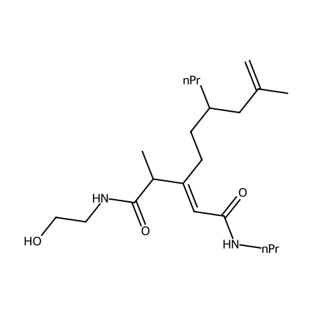 C=C(C)CC(CCC)CC/C(=C\C(=O)NCCC)C(C)C(=O)NCCO